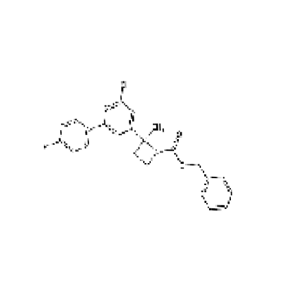 C[C@@]1(c2cc(Cl)nc(-c3ccc(F)cc3)c2)CCN1C(=O)OCc1ccccc1